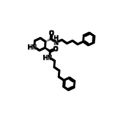 O=C(NCCCCc1ccccc1)[C@H]1CCNC[C@@H]1C(=O)NCCCCc1ccccc1